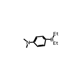 CCB(CC)c1ccc(N(C)C)cc1